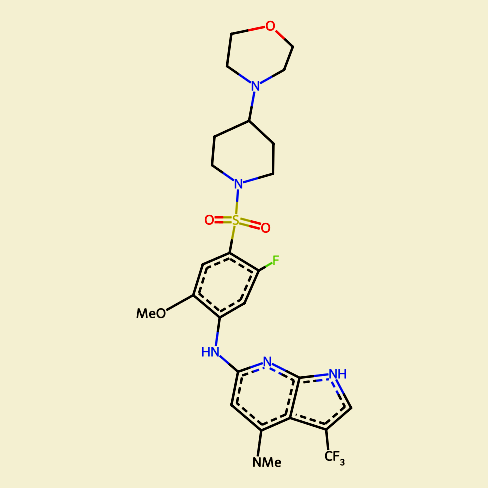 CNc1cc(Nc2cc(F)c(S(=O)(=O)N3CCC(N4CCOCC4)CC3)cc2OC)nc2[nH]cc(C(F)(F)F)c12